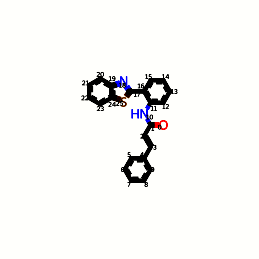 O=C(C=Cc1ccccc1)Nc1ccccc1-c1nc2ccccc2s1